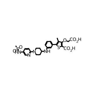 Cc1c(-c2cccc(NC3CCN(c4ccc(NS(C)(=O)=O)cn4)CC3)c2)sc(C(=O)O)c1OCC(=O)O